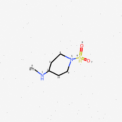 CC(C)NC1CCN([SH](=O)=O)CC1